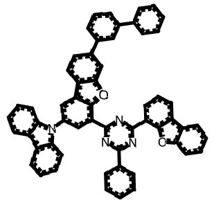 c1ccc(-c2cccc(-c3ccc4c(c3)oc3c(-c5nc(-c6ccccc6)nc(-c6cccc7c6oc6ccccc67)n5)cc(-n5c6ccccc6c6ccccc65)cc34)c2)cc1